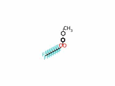 CC[C@H]1CC[C@H](c2ccc(C(=O)OCC(F)(F)C(F)(F)C(F)(F)C(F)(F)C(F)(F)C(F)(F)C(F)(F)C(F)F)cc2)CC1